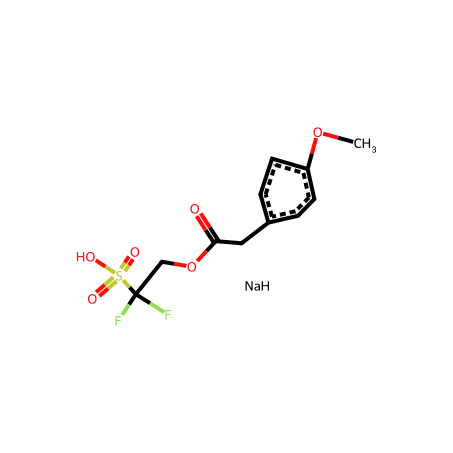 COc1ccc(CC(=O)OCC(F)(F)S(=O)(=O)O)cc1.[NaH]